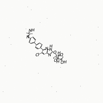 CS(C)(=N)=Nc1ccc(-c2ccc(-c3nc4[nH]c(O[C@@H]5CO[C@H]6[C@@H]5OC[C@H]6O)nc4cc3Cl)cc2)cc1